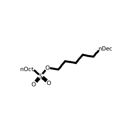 CCCCCCCCCCCCCCCOS(=O)(=O)CCCCCCCC